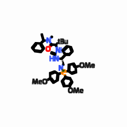 C=C(N[C@@H](CN=P(c1ccc(OC)cc1)(c1ccc(OC)cc1)c1ccc(OC)cc1)c1ccccc1)N[C@@H](C(=O)N(C)C(C)c1ccccc1)C(C)(C)C